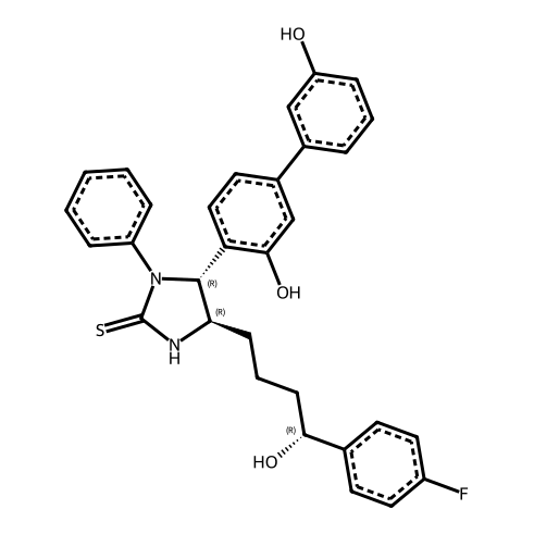 Oc1cccc(-c2ccc([C@@H]3[C@@H](CCC[C@@H](O)c4ccc(F)cc4)NC(=S)N3c3ccccc3)c(O)c2)c1